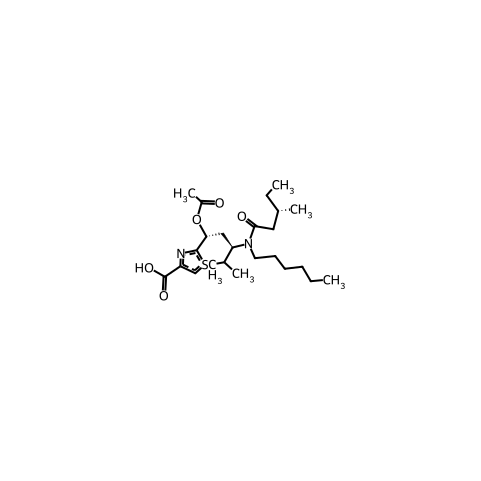 CCCCCCN(C(=O)C[C@@H](C)CC)[C@H](C[C@@H](OC(C)=O)c1nc(C(=O)O)cs1)C(C)C